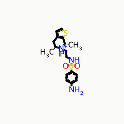 CC(C)[N+]1(CCNS(=O)(=O)c2ccc(N)cc2)[C@H](C)Cc2ccsc2[C@@H]1C